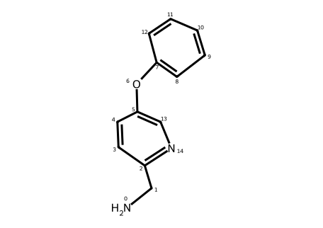 NCc1ccc(Oc2ccccc2)cn1